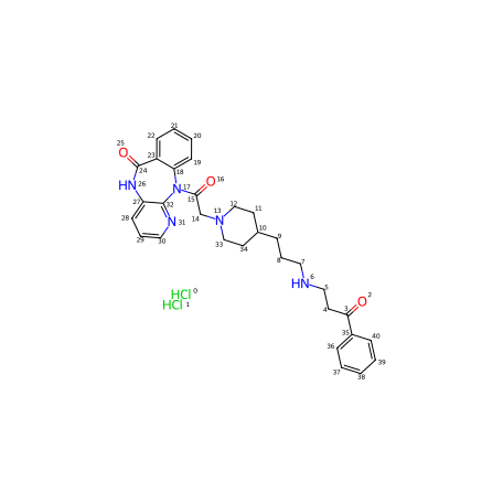 Cl.Cl.O=C(CCNCCCC1CCN(CC(=O)N2c3ccccc3C(=O)Nc3cccnc32)CC1)c1ccccc1